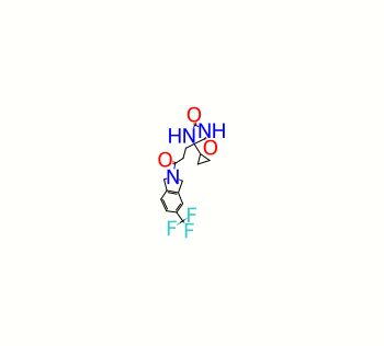 O=C1NC(=O)C(CCC(=O)N2Cc3ccc(C(F)(F)F)cc3C2)(C2CC2)N1